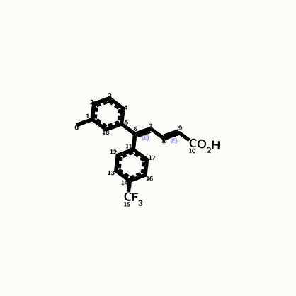 Cc1cccc(/C(=C/C=C/C(=O)O)c2ccc(C(F)(F)F)cc2)c1